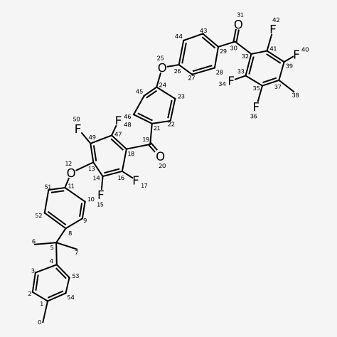 Cc1ccc(C(C)(C)c2ccc(Oc3c(F)c(F)c(C(=O)c4ccc(Oc5ccc(C(=O)c6c(F)c(F)c(C)c(F)c6F)cc5)cc4)c(F)c3F)cc2)cc1